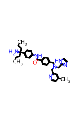 CCCC(N)(CCC)c1ccc(NC(=O)c2ccc(CN(Cc3cc(C)ccn3)Cc3ncc[nH]3)cc2)cc1